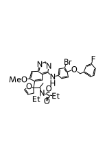 CCN(C(C)C1(c2cc3c(Nc4ccc(OCc5cccc(F)c5)c(Br)c4)ncnc3cc2OC)CC=CO1)S(=O)(=O)CC